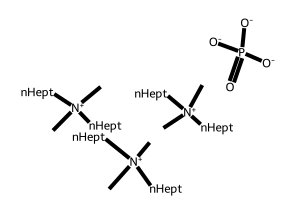 CCCCCCC[N+](C)(C)CCCCCCC.CCCCCCC[N+](C)(C)CCCCCCC.CCCCCCC[N+](C)(C)CCCCCCC.O=P([O-])([O-])[O-]